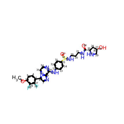 COc1ccc(-c2cnc3c(Nc4ccc([S+]([O-])NCCCNC(=O)[C@@H]5C[C@@H](O)CN5)cc4)nccn23)c(F)c1F